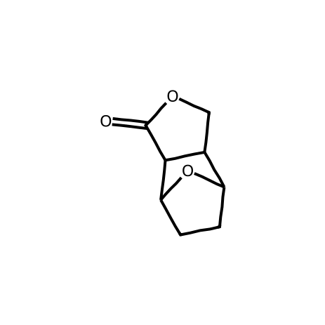 O=C1OCC2C3CCC(O3)C12